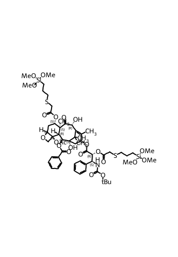 CO[Si](CCCSCC(=O)O[C@H]1C[C@H]2OC[C@@]2(OC(C)=O)[C@H]2[C@H](OC(=O)c3ccccc3)[C@]3(O)C[C@H](OC(=O)[C@H](OC(=O)CSCCC[Si](OC)(OC)OC)[C@@H](NC(=O)OC(C)(C)C)c4ccccc4)C(C)=C([C@@H](O)C(=O)[C@]12C)C3(C)C)(OC)OC